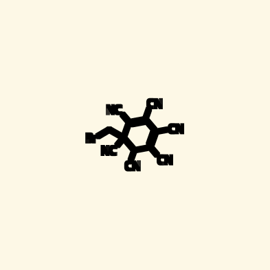 N#CC1=C(C#N)C(C#N)C(C#N)(CBr)C(C#N)=C1C#N